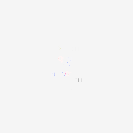 Cc1ccsc1-c1nnc(-c2cncc(-c3ccccc3[S+](C)[O-])n2)o1